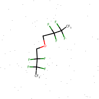 FC(F)(F)C(F)(F)C(F)(F)COCC(F)(F)C(F)(F)C(F)(F)F